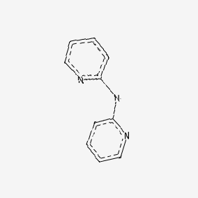 c1ccc([N]c2ccccn2)nc1